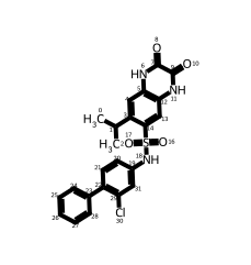 CC(C)c1cc2[nH]c(=O)c(=O)[nH]c2cc1S(=O)(=O)Nc1ccc(-c2ccccc2)c(Cl)c1